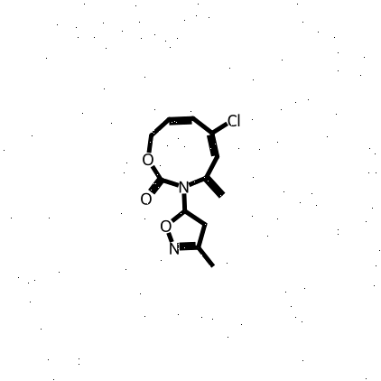 C=C1/C=C(Cl)\C=C/COC(=O)N1C1CC(C)=NO1